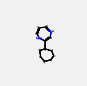 C1=CNC([C]2CCCCCC2)=CN=C1